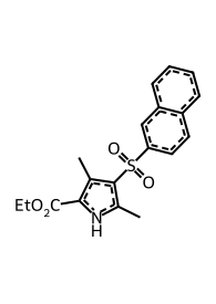 CCOC(=O)c1[nH]c(C)c(S(=O)(=O)c2ccc3ccccc3c2)c1C